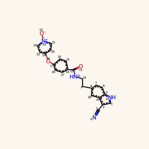 N#Cc1c[nH]c2ccc(CCNC(=O)c3ccc(Oc4cc[n+]([O-])cc4)cc3)cc12